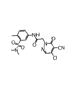 Cc1ccc(NC(=O)Cn2ncc(Cl)c(C#N)c2=O)cc1S(=O)(=O)N(C)C